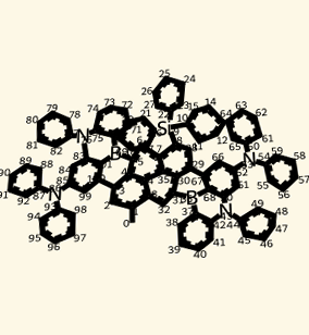 Cc1cc2c3c(cc4c([Si](c5ccccc5)(c5ccccc5)c5ccccc5)cc5c6c(cc1c3c46)B1c3ccccc3N(c3ccccc3)c3cc(N(c4ccccc4)c4ccccc4)cc-5c31)B1c3ccccc3N(c3ccccc3)c3cc(N(c4ccccc4)c4ccccc4)cc-2c31